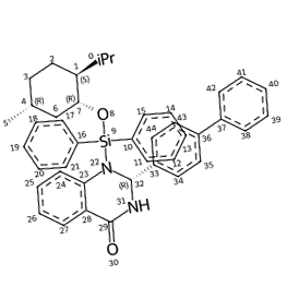 CC(C)[C@@H]1CC[C@@H](C)C[C@H]1O[Si](c1ccccc1)(c1ccccc1)N1c2ccccc2C(=O)N[C@H]1c1ccc(-c2ccccc2)cc1